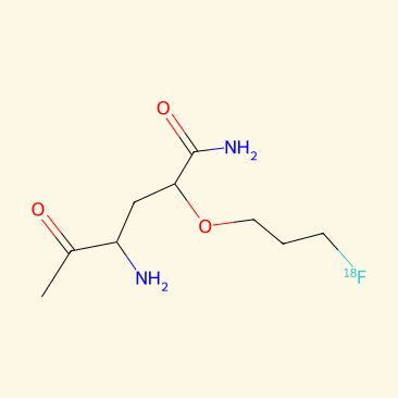 CC(=O)C(N)CC(OCCC[18F])C(N)=O